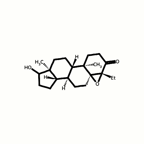 CC[C@@]12O[C@]13CC[C@H]1[C@@H]4CCC(O)[C@@]4(C)CC[C@@H]1[C@@]3(C)CCC2=O